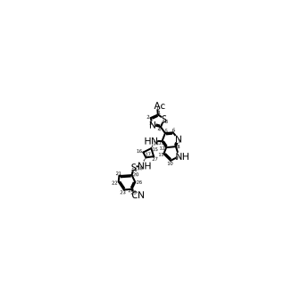 CC(=O)c1cnc(-c2cnc3[nH]ccc3c2N[C@H]2C[C@@H](NSc3cccc(C#N)c3)C2)s1